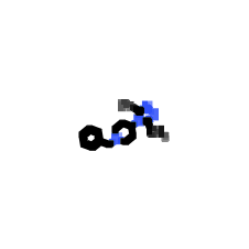 Cc1nnc(C(C)C)n1C1CCN(Cc2ccccc2)CC1